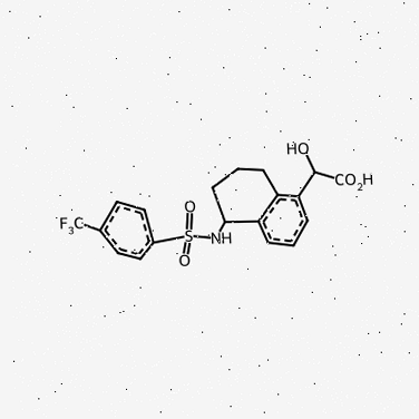 O=C(O)C(O)c1cccc2c1CCCC2NS(=O)(=O)c1ccc(C(F)(F)F)cc1